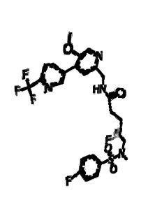 COc1cnc(CNC(=O)CC[C@@H](F)CN(C)S(=O)(=O)c2ccc(F)cc2)cc1-c1ccc(C(F)(F)F)nc1